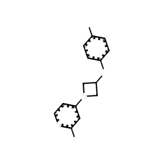 Fc1ccc(OC2CN(c3ccnc(Cl)c3)C2)cc1